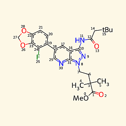 COC(=O)C(C)(C)CCn1nc(NC(=O)CC(C)(C)C)c2cc(-c3ccc4c(c3F)OCO4)cnc21